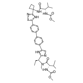 CC[C@@H](c1ncc(-c2ccc(-c3ccc(-c4cnc(C5(NC(=O)[C@@H](NC(=O)OC)C(C)C)CCC5)[nH]4)cc3)cc2)[nH]1)N(CC)C(=O)[C@@H](NC(=O)OC)C(C)C